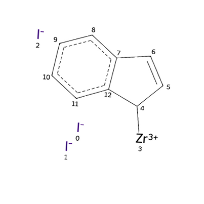 [I-].[I-].[I-].[Zr+3][CH]1C=Cc2ccccc21